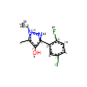 Cc1c(O)c(-c2cc(F)ccc2F)nn1C(C)(C)C